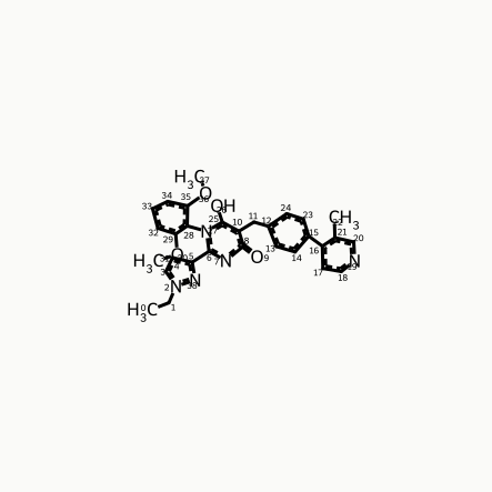 CCn1ccc(-c2nc(=O)c(Cc3ccc(-c4ccncc4C)cc3)c(O)n2-c2c(OC)cccc2OC)n1